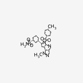 Cc1ccc(S(=O)(=O)n2c(-c3cccc(S(N)(=O)=O)c3)cc3c4c(cnc32)cnn4C)cc1